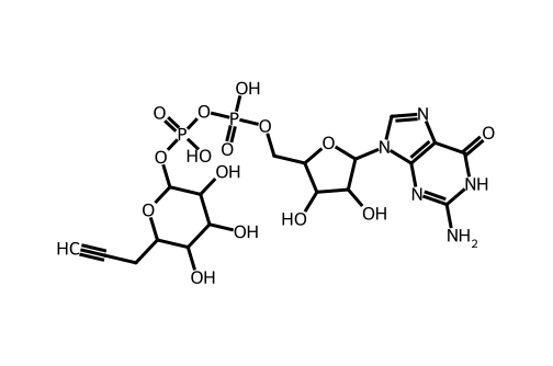 C#CCC1OC(OP(=O)(O)OP(=O)(O)OCC2OC(n3cnc4c(=O)[nH]c(N)nc43)C(O)C2O)C(O)C(O)C1O